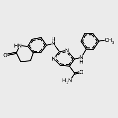 Cc1cccc(Nc2nc(Nc3ccc4c(c3)CCC(=O)N4)ncc2C(N)=O)c1